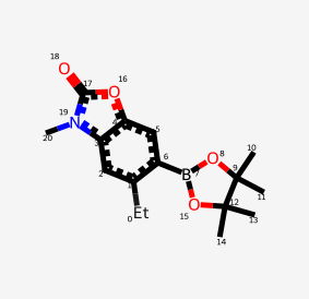 CCc1cc2c(cc1B1OC(C)(C)C(C)(C)O1)oc(=O)n2C